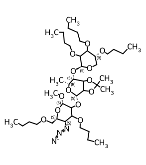 CCCCOC[C@H]1O[C@H](OC)C(O[C@@H]2O[C@H](C)[C@H](O[C@@H]3OC[C@@H](OCCCC)C(OCCCC)C3OCCCC)C3OC(C)(C)OC32)C(OCCCC)[C@H]1N=[N+]=[N-]